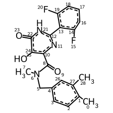 Cc1ccc(CN(C)C(=O)c2nc(-c3c(F)cccc3F)[nH]c(=O)c2O)cc1C